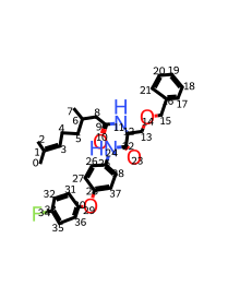 CC(C)=CCCC(C)CC(=O)NC(COCc1ccccc1)C(=O)Nc1ccc(Oc2ccc(F)cc2)cc1